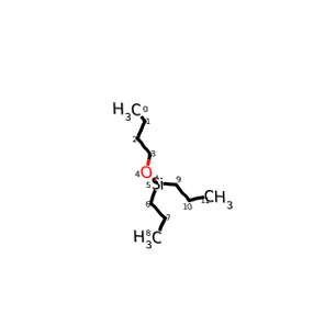 CCCCO[Si](CCC)CCC